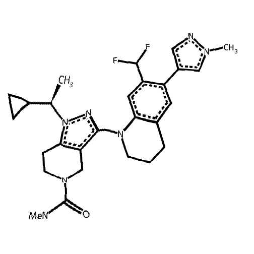 CNC(=O)N1CCc2c(c(N3CCCc4cc(-c5cnn(C)c5)c(C(F)F)cc43)nn2[C@H](C)C2CC2)C1